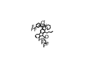 CCCCc1c2c(cc(C(=O)c3cc(C(F)(F)F)ccc3Cl)c1N1CCCCC1N)-c1ccccc1C2C(=O)NCC(F)(F)F